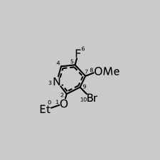 CCOc1ncc(F)c(OC)c1Br